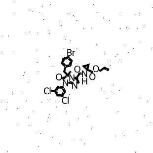 C=CCOC(=O)C1(NC(=O)c2cnc3n2C(C)(Cc2ccc(Br)cc2)C(=O)N3c2cc(Cl)cc(Cl)c2)CC1